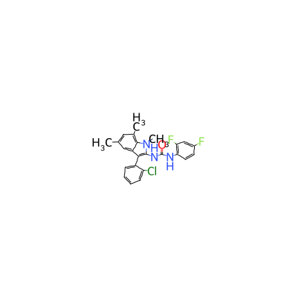 Cc1cc(C)c2c(c1)c(-c1ccccc1Cl)c(NC(=O)Nc1ccc(F)cc1F)n2C